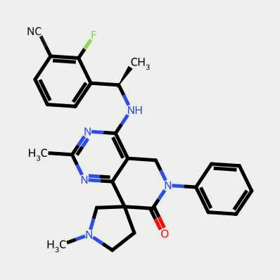 Cc1nc(N[C@H](C)c2cccc(C#N)c2F)c2c(n1)C1(CCN(C)C1)C(=O)N(c1ccccc1)C2